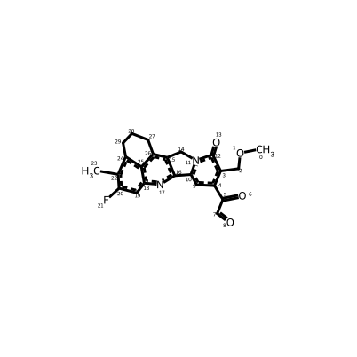 COCc1c(C(=O)C=O)cc2n(c1=O)Cc1c-2nc2cc(F)c(C)c3c2c1CCC3